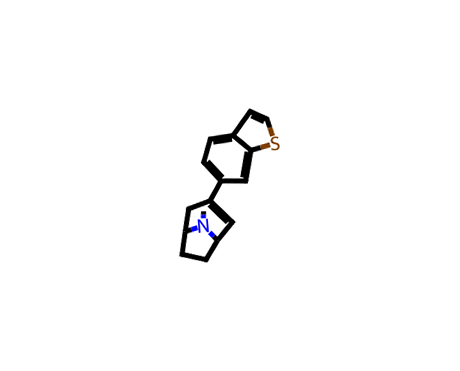 CN1C2C=C(c3ccc4ccsc4c3)CC1CC2